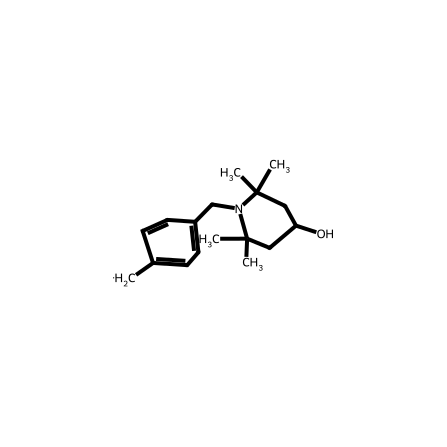 [CH2]c1ccc(CN2C(C)(C)CC(O)CC2(C)C)cc1